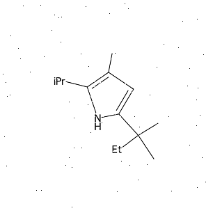 CCC(C)(C)c1cc(C)c(C(C)C)[nH]1